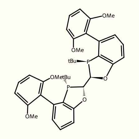 COc1cccc(OC)c1-c1cccc2c1[P@](C(C)(C)C)[C@H]([C@@H]1Oc3cccc(-c4c(OC)cccc4OC)c3[P@]1C(C)(C)C)O2